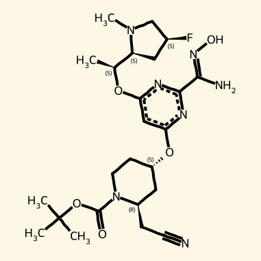 C[C@H](Oc1cc(O[C@H]2CCN(C(=O)OC(C)(C)C)[C@H](CC#N)C2)nc(C(N)=NO)n1)[C@@H]1C[C@H](F)CN1C